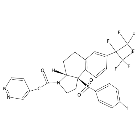 O=C(Cc1ccnnc1)N1CC[C@@]2(S(=O)(=O)c3ccc(I)cc3)c3ccc(C(F)(C(F)(F)F)C(F)(F)F)cc3CC[C@@H]12